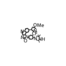 COc1cncc(-c2ccc3ncc4c(c3c2)n(-c2ccc(N3CC(C)NC(C)C3)c(C(F)(F)F)c2)c(=O)n4C)c1